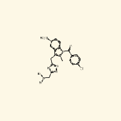 CCN(CC)Cc1noc(Cc2c(C)n(C(=O)c3ccc(Cl)cc3)c3ccc(OC)cc23)n1